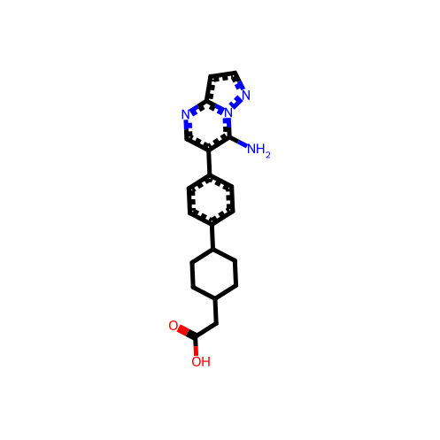 Nc1c(-c2ccc(C3CCC(CC(=O)O)CC3)cc2)cnc2ccnn12